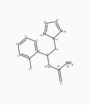 Cc1ccccc1C(Cn1nccn1)OC(N)=O